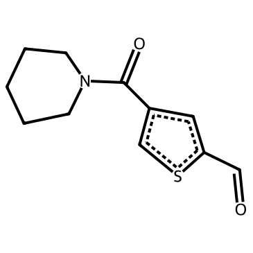 O=Cc1cc(C(=O)N2CCCCC2)cs1